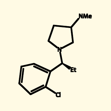 CC[C@@H](c1ccccc1Cl)N1CCC(NC)C1